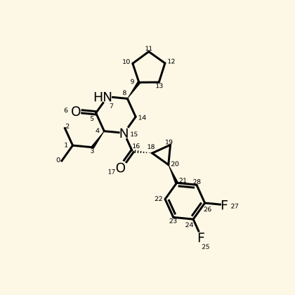 CC(C)C[C@H]1C(=O)N[C@@H](C2CCCC2)CN1C(=O)[C@@H]1C[C@H]1c1ccc(F)c(F)c1